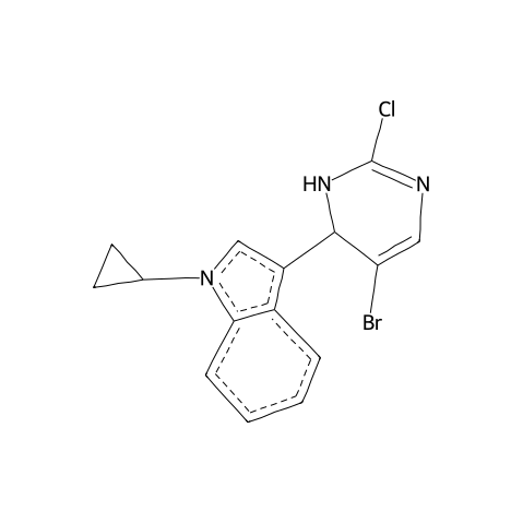 ClC1=NC=C(Br)C(c2cn(C3CC3)c3ccccc23)N1